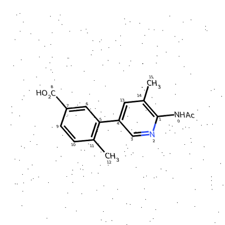 CC(=O)Nc1ncc(-c2cc(C(=O)O)ccc2C)cc1C